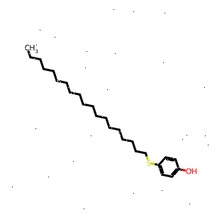 CCCCCCCCCCCCCCCCCCCSc1ccc(O)cc1